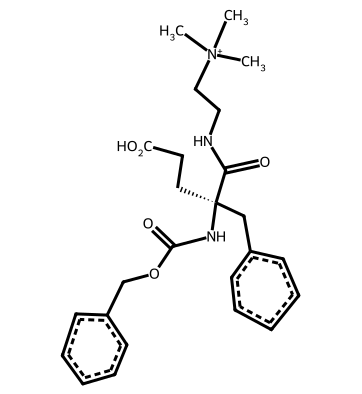 C[N+](C)(C)CCNC(=O)[C@@](CCC(=O)O)(Cc1ccccc1)NC(=O)OCc1ccccc1